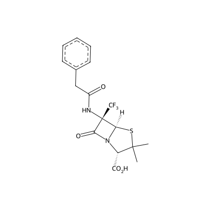 CC1(C)S[C@H]2N(C(=O)[C@@]2(NC(=O)Cc2ccccc2)C(F)(F)F)[C@H]1C(=O)O